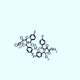 CC(c1ccc(F)cc1)N(C(=O)C(=O)OCC(F)(F)F)C(C)c1ccc(F)cc1.CC(c1ccc(F)cc1)N(C(=O)C(N)=O)C(C)c1ccc(F)cc1